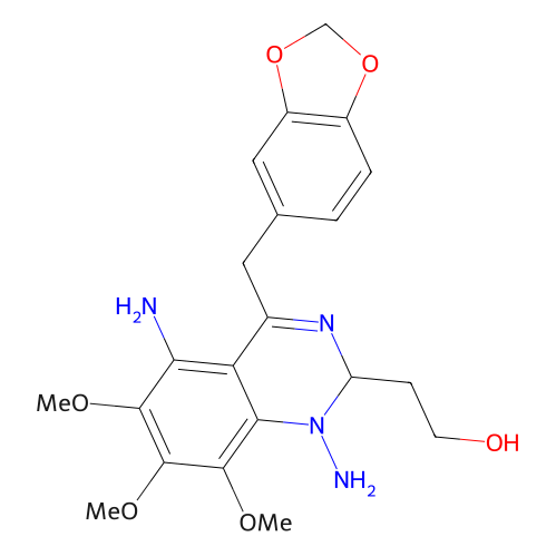 COc1c(N)c2c(c(OC)c1OC)N(N)C(CCO)N=C2Cc1ccc2c(c1)OCO2